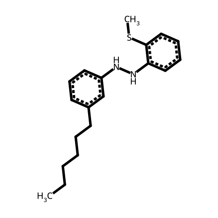 CCCCCCc1cccc(NNc2ccccc2SC)c1